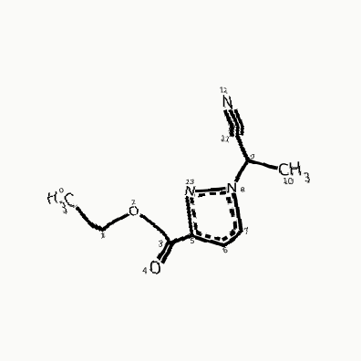 CCOC(=O)c1ccn(C(C)C#N)n1